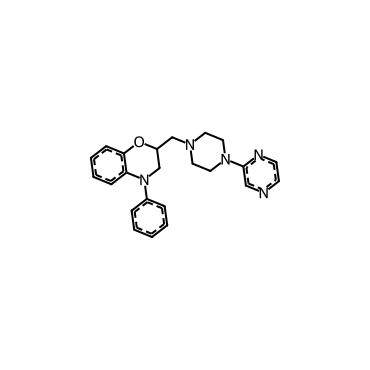 c1ccc(N2CC(CN3CCN(c4cnccn4)CC3)Oc3ccccc32)cc1